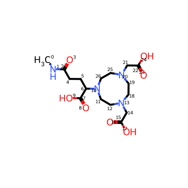 CNC(=O)CCC(C(=O)O)N1CCN(CC(=O)O)CCN(CC(=O)O)CC1